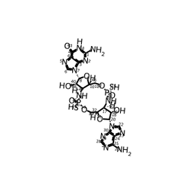 Nc1nc2c(ncn2[C@@H]2O[C@@H]3CO[P@](=O)(S)N[C@H]4[C@@H](O)[C@H](n5cnc6c(N)ncnc65)O[C@@H]4CO[P@](=O)(S)N[C@H]3[C@H]2O)c(=O)[nH]1